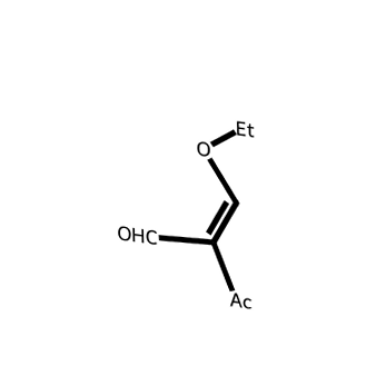 CCO/C=C(\C=O)C(C)=O